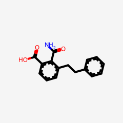 NC(=O)c1c(CCc2ccccc2)cccc1C(=O)O